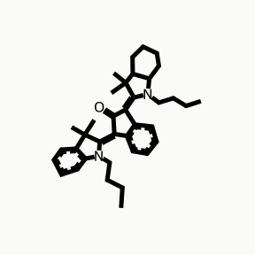 CCCCN1/C(=C2/C(=O)/C(=C3/N(CCCC)C4CCCCC4C3(C)C)c3ccccc32)C(C)(C)c2ccccc21